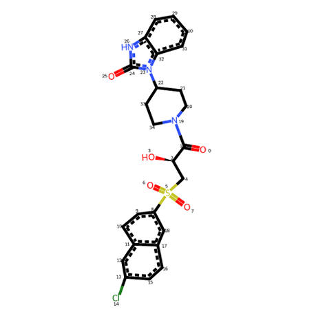 O=C([C@H](O)CS(=O)(=O)c1ccc2cc(Cl)ccc2c1)N1CCC(n2c(=O)[nH]c3ccccc32)CC1